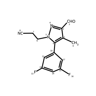 Cc1c(C=O)nn(CCC#N)c1-c1cc(F)cc(F)c1